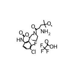 COC(C)(C)C[C@H](N)C(=O)N1CCC[C@@]2(C1)OC(=O)Nc1ccc(Cl)c(F)c12.O=C(O)C(F)(F)F